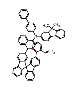 C=Cc1ccccc1-c1ccc2c(c1)C1(c3ccccc3-2)c2ccccc2-c2ccc(-c3ccc(N(c4ccc(-c5ccccc5)cc4)c4ccc5c(c4)C(C)(C)c4ccccc4-5)c4ccccc34)cc21